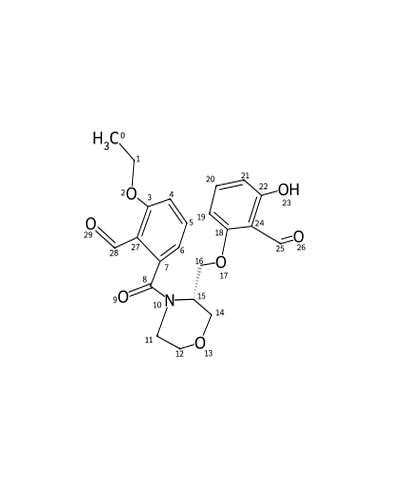 CCOc1cccc(C(=O)N2CCOC[C@H]2COc2cccc(O)c2C=O)c1C=O